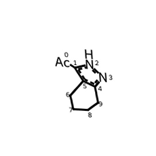 CC(=O)c1[nH]nc2c1CCCC2